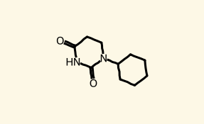 O=C1CCN(C2CCCCC2)C(=O)N1